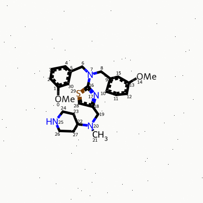 COc1cccc(CN(Cc2cccc(OC)c2)c2nc(CN(C)C3CCNCC3)cs2)c1